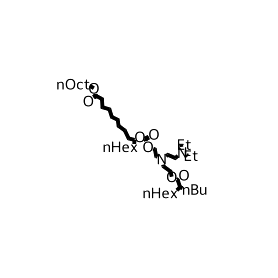 CCCCCCCCOC(=O)CCCCCCCCC(CCCCCC)OC(=O)OCCN(CCOC(=O)C(CCCC)CCCCCC)CCN(CC)CC